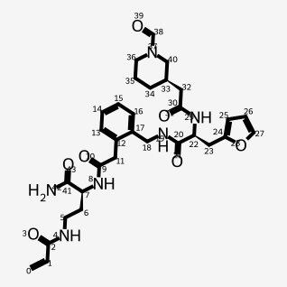 C=CC(=O)NCC[C@H](NC(=O)Cc1ccccc1CNC(=O)[C@H](Cc1ccco1)NC(=O)C[C@H]1CCCN(C=O)C1)C(N)=O